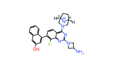 NC1CN(c2nc(N3C[C@H]4CC[C@@H](C3)N4)c3ccc(-c4cc(O)cc5ccccc45)c(F)c3n2)C1